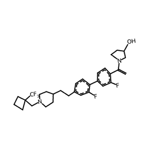 C=C(c1ccc(-c2ccc(CCC3CCN(CC4(C(F)(F)F)CCC4)CC3)cc2F)cc1F)N1CCC(O)C1